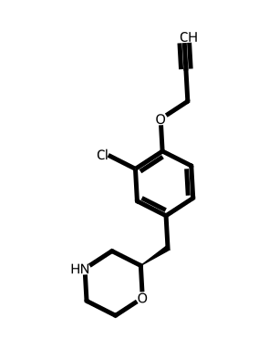 C#CCOc1ccc(C[C@@H]2CNCCO2)cc1Cl